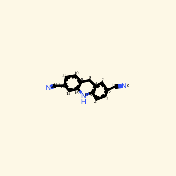 N#Cc1ccc2c(c1)Cc1ccc(C#N)cc1N2